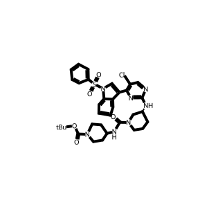 CC(C)(C)OC(=O)N1CCC(NC(=O)N2CCC[C@@H](Nc3ncc(Cl)c(-c4cn(S(=O)(=O)c5ccccc5)c5ccccc45)n3)C2)CC1